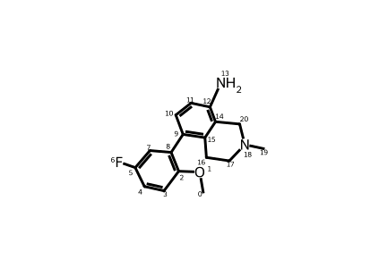 COc1ccc(F)cc1-c1ccc(N)c2c1CCN(C)C2